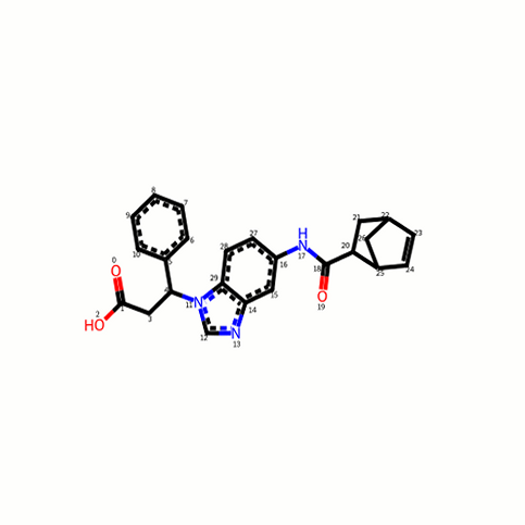 O=C(O)CC(c1ccccc1)n1cnc2cc(NC(=O)C3CC4C=CC3C4)ccc21